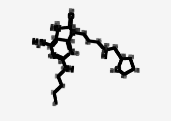 CCCCNc1nc(N)c2[nH]c(=O)n(CCCNCC3CCCO3)c2n1